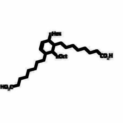 CCCCCCCCC1C(CCCCCCCC(=O)O)C=CC(CCCCCC)C1CCCCCCCC(=O)O